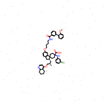 COc1ccccc1-c1cccc(C(=O)NCCCCOc2ccc3c(c2)C2(CCC(Nc4cccc(Cl)c4)(C(=O)O)CC2)[C@@H](C[C@@H](C)COc2ccnc4c2[C@H](C)CCC4)C3)c1